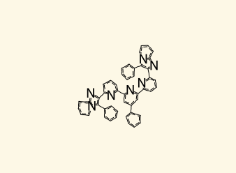 c1ccc(-c2cc(-c3cccc(-c4nc5ccccn5c4-c4ccccc4)n3)nc(-c3cccc(-c4nc5ccccn5c4-c4ccccc4)n3)c2)cc1